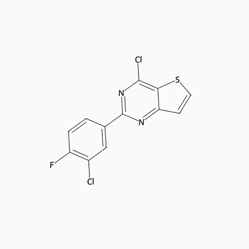 Fc1ccc(-c2nc(Cl)c3sccc3n2)cc1Cl